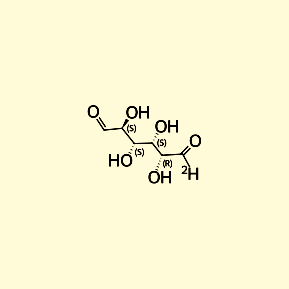 [2H]C(=O)[C@H](O)[C@@H](O)[C@H](O)[C@H](O)C=O